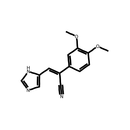 COc1ccc(C(C#N)=Cc2cnc[nH]2)cc1OC